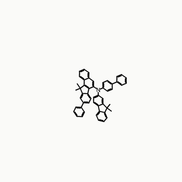 CC1(C)c2ccccc2-c2ccc(N(c3ccc(-c4ccccc4)cc3)c3cc4ccccc4c4c3-c3ccc(-c5ccccc5)cc3C4(C)C)cc21